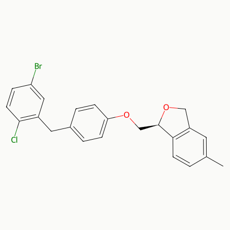 Cc1ccc2c(c1)CO[C@@H]2COc1ccc(Cc2cc(Br)ccc2Cl)cc1